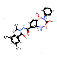 CCC(N(NC(=O)C1=C[C@@H]2NOC(=O)N(c3ccccc3)B(O)C2C=C1)C(=O)c1cc(C)cc(C)c1)C(C)(C)C